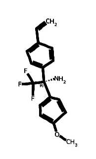 C=Cc1ccc([C@@](N)(c2ccc(OC)cc2)C(F)(F)F)cc1